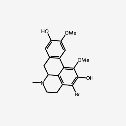 COc1cc2c(cc1O)CC1c3c(c(Br)c(O)c(OC)c3-2)CCN1C